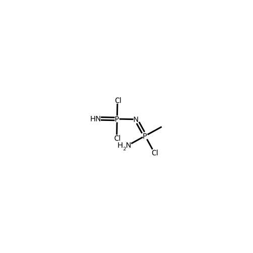 CP(N)(Cl)=NP(=N)(Cl)Cl